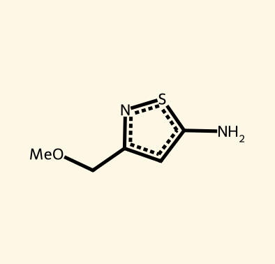 COCc1cc(N)sn1